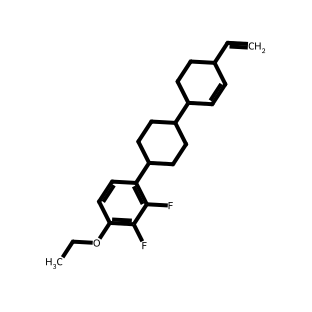 C=CC1C=CC(C2CCC(c3ccc(OCC)c(F)c3F)CC2)CC1